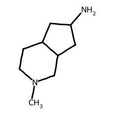 CN1CCC2CC(N)CC2C1